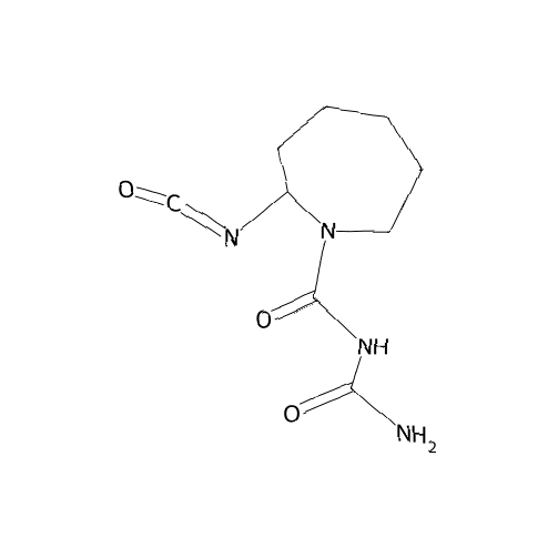 NC(=O)NC(=O)N1CCCCCC1N=C=O